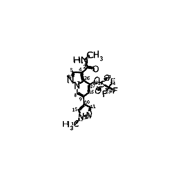 CNC(=O)c1cnn2cc(-c3cnn(C)c3)cc(OS(=O)(=O)C(F)(F)F)c12